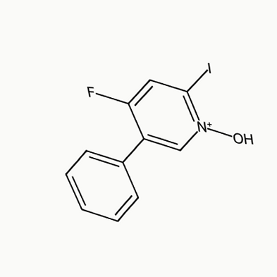 O[n+]1cc(-c2ccccc2)c(F)cc1I